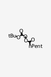 CCCCCC(=O)OOC(=O)OC(C)(C)C